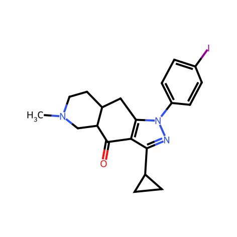 CN1CCC2Cc3c(c(C4CC4)nn3-c3ccc(I)cc3)C(=O)C2C1